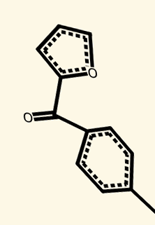 O=C(c1ccc(F)cc1)c1ccco1